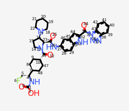 O=C(O)N[C@H](CF)[C@H]1CC[C@H](C(=O)N2CC[C@@H](N3CCCCC3)[C@H]2C(=O)Nc2ccc3[nH]c(C(=O)n4nnc5ccccc54)cc3c2)CC1